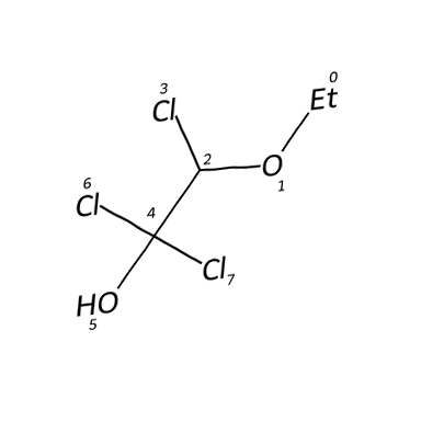 CCOC(Cl)C(O)(Cl)Cl